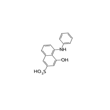 O=S(=O)(O)c1cc(O)c2c(Nc3ccccc3)cccc2c1